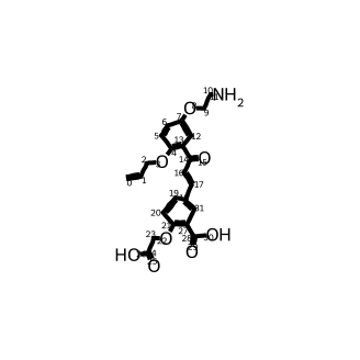 C=CCOc1ccc(OCCN)cc1C(=O)C=Cc1ccc(OCC(=O)O)c(C(=O)O)c1